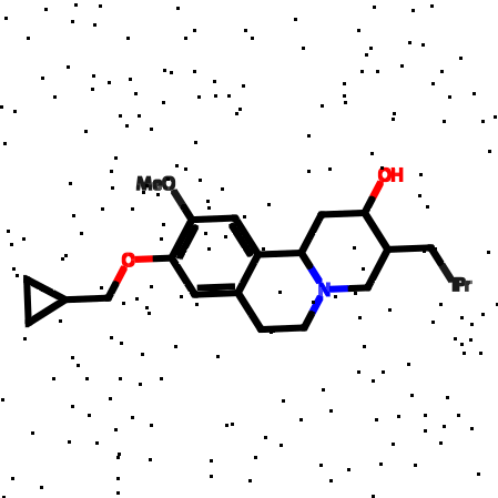 COc1cc2c(cc1OCC1CC1)CCN1CC(CC(C)C)C(O)CC21